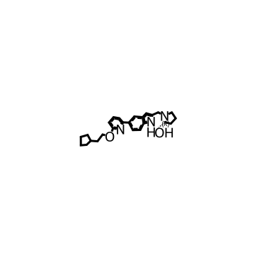 OC[C@H]1CCCN1Cc1cc2cc(-c3cccc(OCCC4CCCC4)n3)ccc2[nH]1